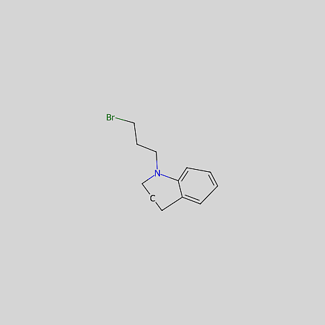 BrCCCN1CCCc2ccccc21